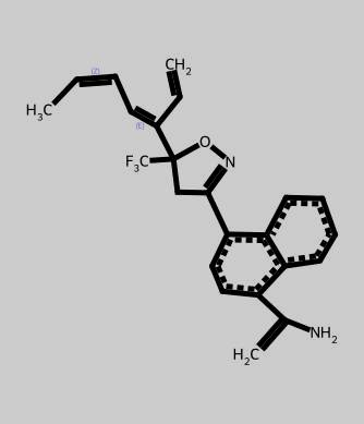 C=C/C(=C\C=C/C)C1(C(F)(F)F)CC(c2ccc(C(=C)N)c3ccccc23)=NO1